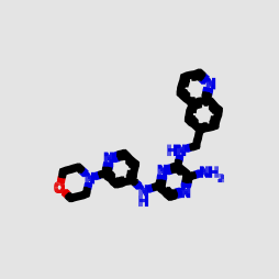 Nc1ncc(Nc2ccnc(N3CCOCC3)c2)nc1NCc1ccc2ncccc2c1